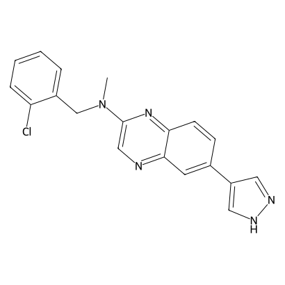 CN(Cc1ccccc1Cl)c1cnc2cc(-c3cn[nH]c3)ccc2n1